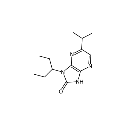 CCC(CC)n1c(=O)[nH]c2ncc(C(C)C)nc21